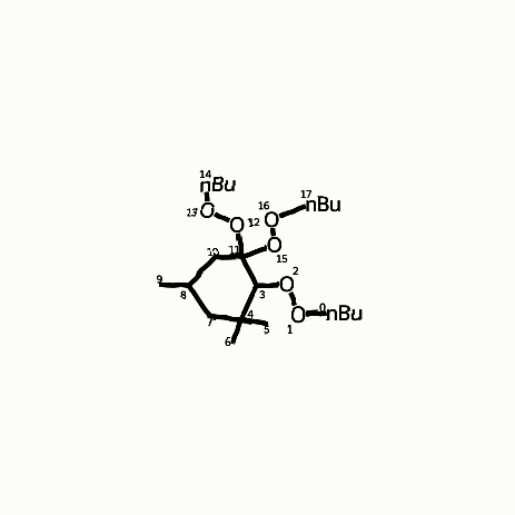 CCCCOOC1C(C)(C)CC(C)CC1(OOCCCC)OOCCCC